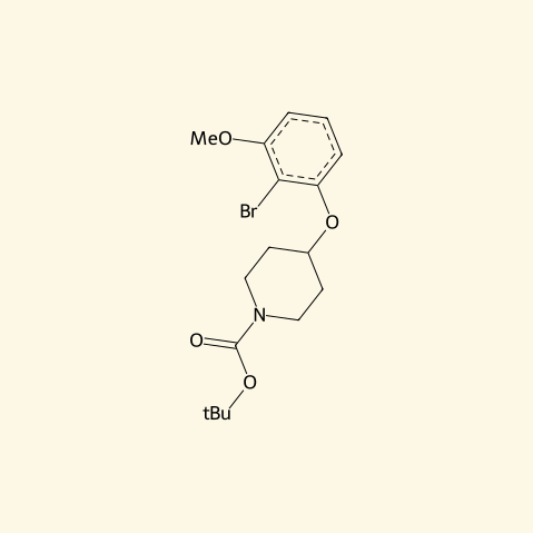 COc1cccc(OC2CCN(C(=O)OC(C)(C)C)CC2)c1Br